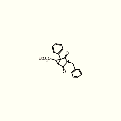 CCOC(=O)C1C2C(=O)N(Cc3ccccc3)C(=O)C12c1ccccc1